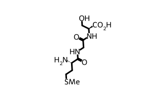 CSCC[C@H](N)C(=O)NCC(=O)N[C@@H](CO)C(=O)O